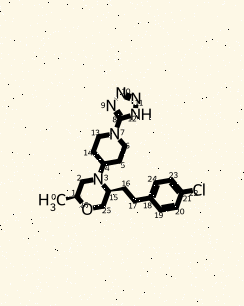 C[C@H]1CN(C2CCN(c3nnn[nH]3)CC2)[C@@H](CCc2ccc(Cl)cc2)CO1